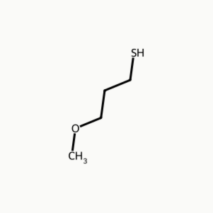 COCCCS